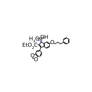 CCOC(=O)C1=C(c2ccc3c(c2)OCO3)c2ccc(OCCCc3ccccc3)cc2/C1=[N+](/C)O